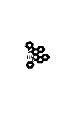 c1ccc(B2Nc3c(c4ccccc4c4c3sc3ccccc34)-c3c2ccc2ccccc32)cc1